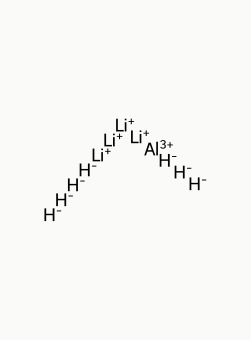 [Al+3].[H-].[H-].[H-].[H-].[H-].[H-].[H-].[Li+].[Li+].[Li+].[Li+]